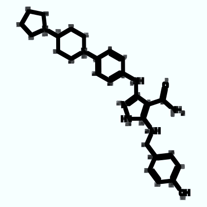 NC(=O)c1c(Nc2ccc(N3CCC(N4CCCC4)CC3)cc2)n[nH]c1NCc1ccc(O)cc1